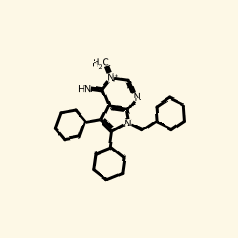 C=[N+]1C=Nc2c(c(C3CCCCC3)c(C3CCCCC3)n2CC2CCCCC2)C1=N